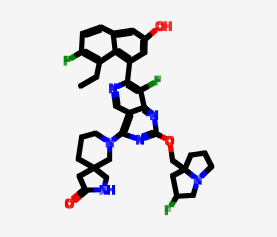 CCc1c(F)ccc2cc(O)cc(-c3ncc4c(N5CCCC6(CNC(=O)C6)C5)nc(OCC56CCCN5CC(F)C6)nc4c3F)c12